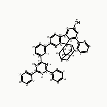 N#Cc1cc(-c2ccccc2)c2c(c1)-c1ccc(-c3cccc(-c4nc(-c5ccccc5)nc(-c5ccccc5)n4)c3)cc1C21C2CC3CC(C2)CC1C3